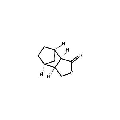 O=C1OC[C@H]2[C@H]3CC[C@H](C3)[C@@H]12